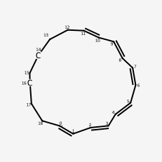 [C]1=C/C=C/C=C/C=C\C=C\C=C\CCCCCCC/1